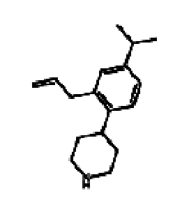 C=CCc1cc(C(C)C)ccc1C1CCNCC1